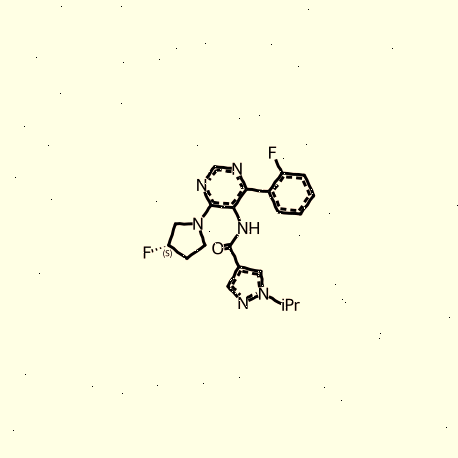 CC(C)n1cc(C(=O)Nc2c(-c3ccccc3F)ncnc2N2CC[C@H](F)C2)cn1